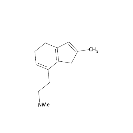 CNCCC1=CCCC2=C1CC(C)=C2